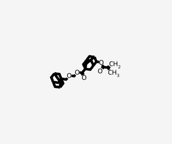 C=C(C)C(=O)OC1C2CC3CC1CC(C(=O)OCOCC14CC5CC(CC(C5)C1)C4)(C3)C2